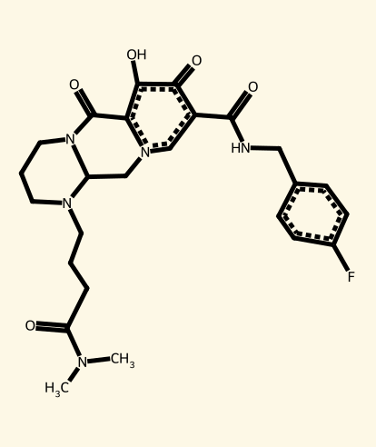 CN(C)C(=O)CCCN1CCCN2C(=O)c3c(O)c(=O)c(C(=O)NCc4ccc(F)cc4)cn3CC12